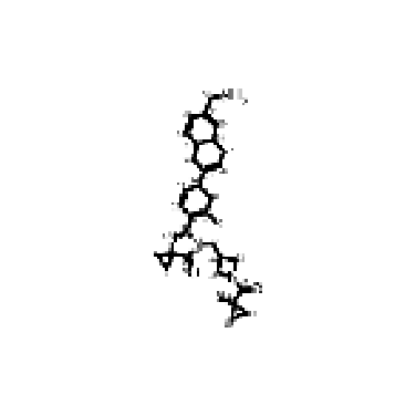 CC1=C(C2=NC3(CC3)C(=O)N2CC2CN(C(=O)C3(C)CC3)C2)C=CC(C2=CCC3C=C(CN)C=CC3C2)C1